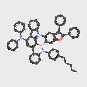 CCCCCc1ccc(N2B3c4cc5oc(-c6ccccc6)c(-c6ccccc6)c5cc4-n4c5ccccc5c5c(N(c6ccccc6)c6ccccc6)cc(c3c54)-c3ccccc32)cc1